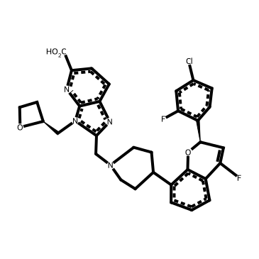 O=C(O)c1ccc2nc(CN3CCC(c4cccc5c4O[C@@H](c4ccc(Cl)cc4F)C=C5F)CC3)n(C[C@@H]3CCO3)c2n1